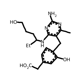 CCC(CCCO)Nc1nc(N)nc(C)c1Cc1ccc(CC(=O)O)cc1O